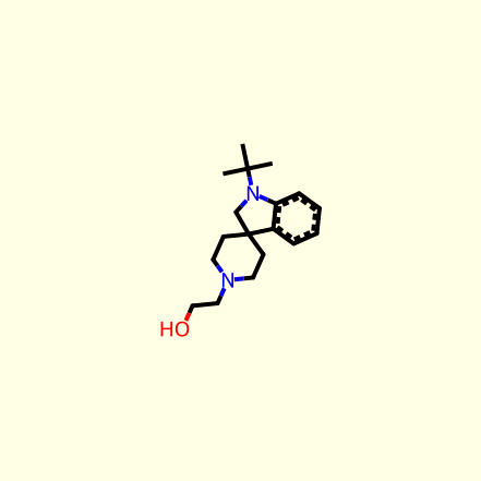 CC(C)(C)N1CC2(CCN(CCO)CC2)c2ccccc21